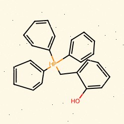 Oc1ccccc1C[PH](c1ccccc1)(c1ccccc1)c1ccccc1